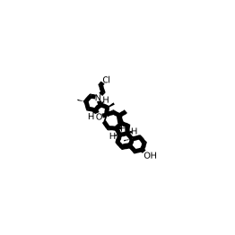 CC1=C2C[C@H]3[C@@H](CC=C4CC(O)CC[C@@]43C)[C@@H]2CC[C@@]2(C1)O[C@@H]1C[C@H](C)CN(CCCl)[C@H]1[C@H]2C